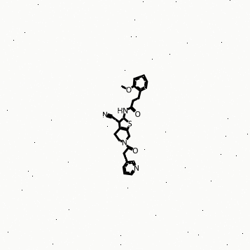 COc1ccccc1CCC(=O)NC1SC2=C(CCN(C(=O)Cc3cccnc3)C2)C1C#N